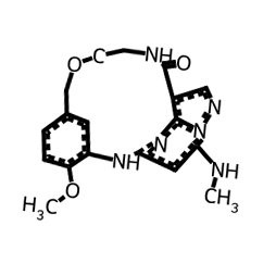 CNc1cc2nc3c(cnn13)C(=O)NCCOCc1ccc(OC)c(c1)N2